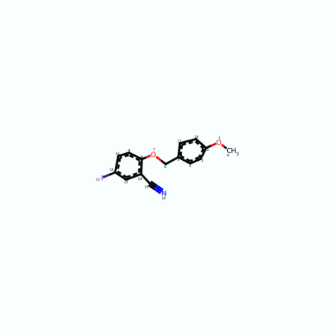 COc1ccc(COc2ccc(I)cc2C#N)cc1